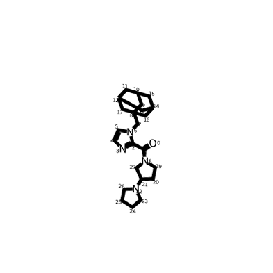 O=C(c1nccn1CC12CC3CC(CC(C3)C1)C2)N1CCC(N2CCCC2)C1